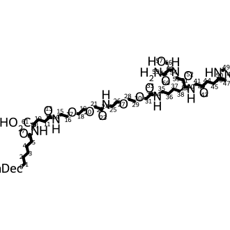 CCCCCCCCCCCCCCCC(=O)N[C@@H](CCC(=O)NCCOCCOCC(=O)NCCOCCOCC(=O)NCCCC[C@H](NCC(=O)CCc1cnc[nH]1)C(=O)CN[C@@H](CO)C(N)=O)C(=O)O